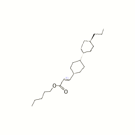 CCCCCOC(=O)/C=C/C1CCC([C@H]2CC[C@H](CCC)CC2)CC1